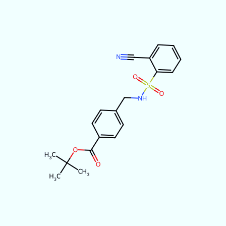 CC(C)(C)OC(=O)c1ccc(CNS(=O)(=O)c2ccccc2C#N)cc1